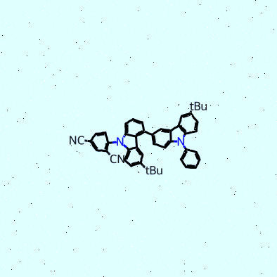 CC(C)(C)c1ccc2c(c1)c1cc(-c3cccc4c3c3cc(C(C)(C)C)ccc3n4-c3ccc(C#N)cc3C#N)ccc1n2-c1ccccc1